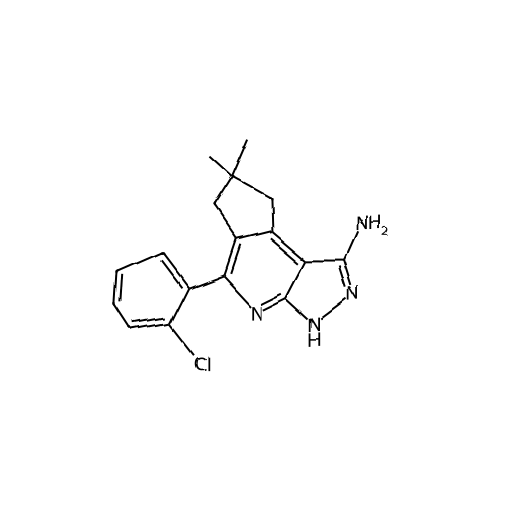 CC1(C)Cc2c(-c3ccccc3Cl)nc3[nH]nc(N)c3c2C1